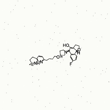 C[C@H]1CCc2ccc(CCCCO[C@@H]3CCN([C@H]4C(O)=C5CCO[C@@H]5c5ccc(F)cc54)C3)nc2N1